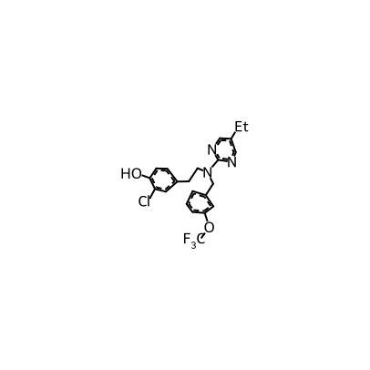 CCc1cnc(N(CCc2ccc(O)c(Cl)c2)Cc2cccc(OC(F)(F)F)c2)nc1